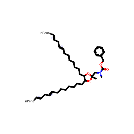 CCCCC/C=C/C/C=C/CCCCCCCC1OC(C)(CN(C)C(=O)OCc2ccccc2)OC1CCCCCCC/C=C/C/C=C/CCCCC